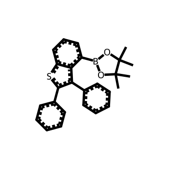 CC1(C)OB(c2cccc3sc(-c4ccccc4)c(-c4ccccc4)c23)OC1(C)C